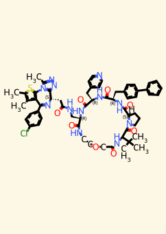 Cc1sc2c(c1C)C(c1ccc(Cl)cc1)=N[C@@H](CC(=O)NC[C@H]1NC(=O)[C@@H](Cc3ccncc3)NC(=O)[C@@H](Cc3ccc(-c4ccccc4)cc3)NC(=O)[C@@H]3CCCN3C(=O)C(C(C)(C)C)NC(=O)COCCNC1=O)c1nnc(C)n1-2